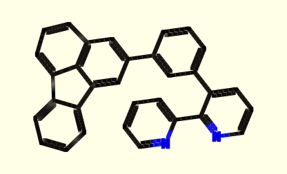 c1ccc(-c2ncccc2-c2cccc(-c3cc4c5c(cccc5c3)-c3ccccc3-4)c2)nc1